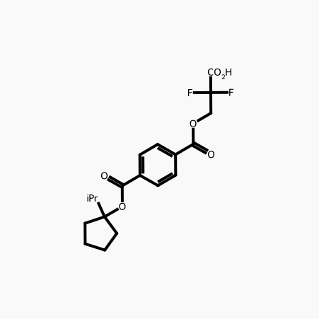 CC(C)C1(OC(=O)c2ccc(C(=O)OCC(F)(F)C(=O)O)cc2)CCCC1